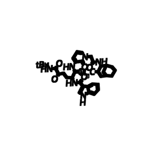 CC1CC2CCCC(C2)C1NC(=O)Cn1cccc(NC(=O)C(CCC(=O)C(=O)NC(C)(C)C)NC(=O)c2c[nH]c3ccccc23)c1=O